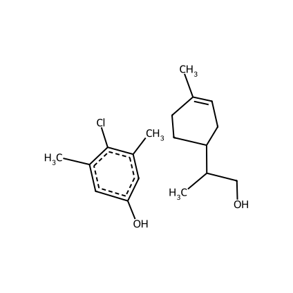 CC1=CCC(C(C)CO)CC1.Cc1cc(O)cc(C)c1Cl